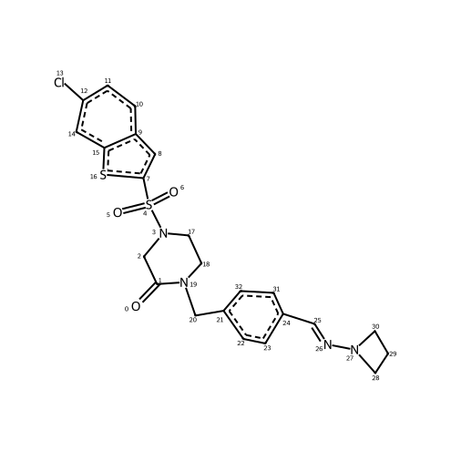 O=C1CN(S(=O)(=O)c2cc3ccc(Cl)cc3s2)CCN1Cc1ccc(/C=N/N2CCC2)cc1